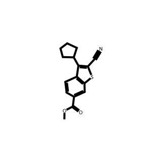 COC(=O)c1ccc2c(C3CCCC3)c(C#N)sc2c1